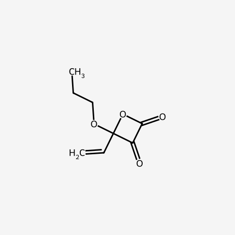 C=CC1(OCCC)OC(=O)C1=O